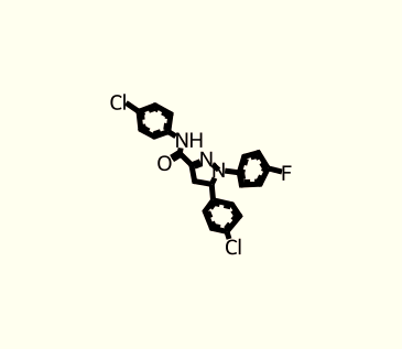 O=C(Nc1ccc(Cl)cc1)C1=NN(c2ccc(F)cc2)C(c2ccc(Cl)cc2)C1